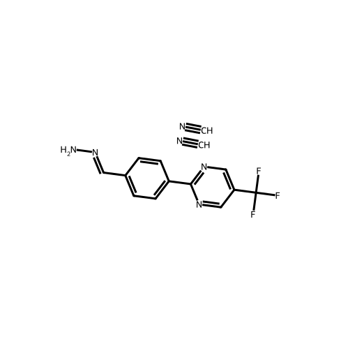 C#N.C#N.NN=Cc1ccc(-c2ncc(C(F)(F)F)cn2)cc1